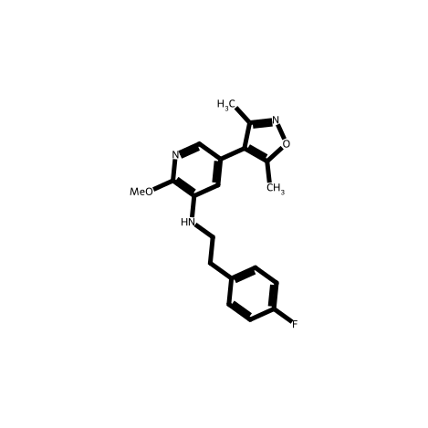 COc1ncc(-c2c(C)noc2C)cc1NCCc1ccc(F)cc1